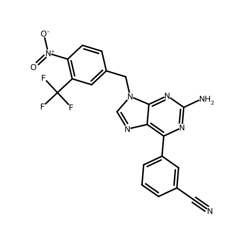 N#Cc1cccc(-c2nc(N)nc3c2ncn3Cc2ccc([N+](=O)[O-])c(C(F)(F)F)c2)c1